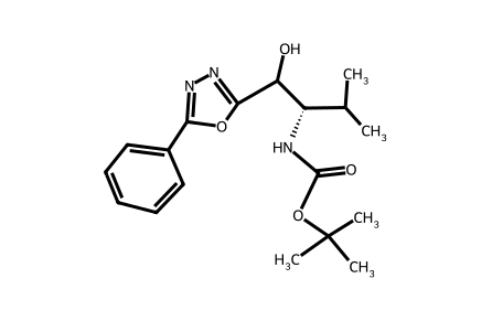 CC(C)[C@H](NC(=O)OC(C)(C)C)C(O)c1nnc(-c2ccccc2)o1